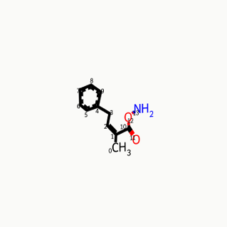 CC(=CCc1ccccc1)C(=O)ON